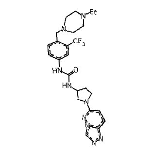 CCN1CCN(Cc2ccc(NC(=O)NC3CCN(c4ccc5nncn5n4)C3)cc2C(F)(F)F)CC1